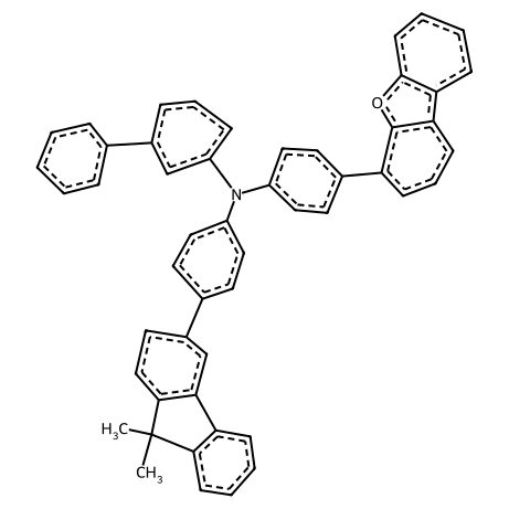 CC1(C)c2ccccc2-c2cc(-c3ccc(N(c4ccc(-c5cccc6c5oc5ccccc56)cc4)c4cccc(-c5ccccc5)c4)cc3)ccc21